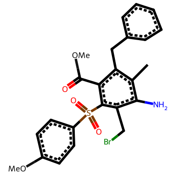 COC(=O)c1c(Cc2ccccc2)c(C)c(N)c(CBr)c1S(=O)(=O)c1ccc(OC)cc1